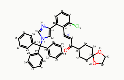 O=C(/C=C/c1c(Cl)cccc1-c1cn(C(c2ccccc2)(c2ccccc2)c2ccccc2)cn1)C1CCC2(CC1)OCCO2